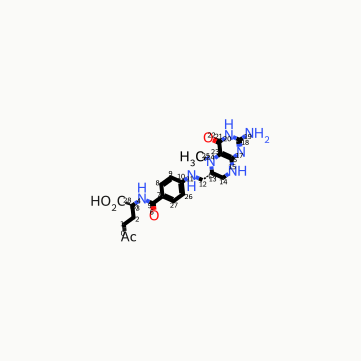 CC(=O)CC[C@H](NC(=O)c1ccc(NC[C@H]2CNc3nc(N)[nH]c(=O)c3N2C)cc1)C(=O)O